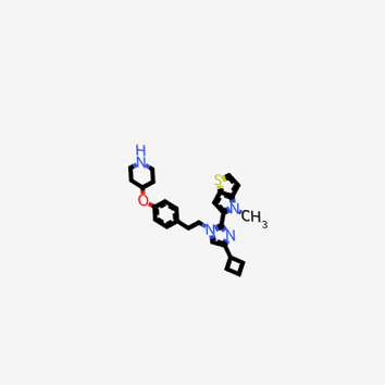 Cn1c(-c2nc(C3CCC3)cn2CCc2ccc(OC3CCNCC3)cc2)cc2sccc21